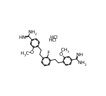 COc1cc(C(=N)N)ccc1CCc1cccc(CCc2ccc(C(=N)N)cc2OC)c1F.Cl.Cl